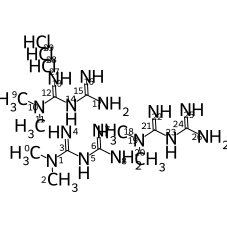 CN(C)C(=N)NC(=N)N.CN(C)C(=N)NC(=N)N.CN(C)C(=N)NC(=N)N.Cl.Cl.Cl